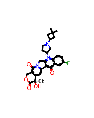 CC[C@@]1(O)C(=O)OCc2c1cc1n(c2=O)Cc2c-1c(=O)c1cc(F)ccc1n2[C@@H]1CCN(C2CC(C)(C)C2)C1